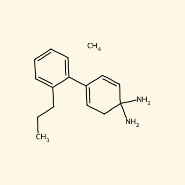 C.CCCc1ccccc1C1=CCC(N)(N)C=C1